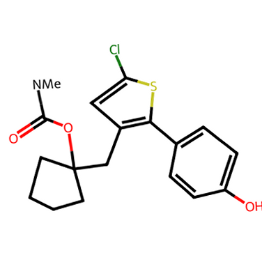 CNC(=O)OC1(Cc2cc(Cl)sc2-c2ccc(O)cc2)CCCC1